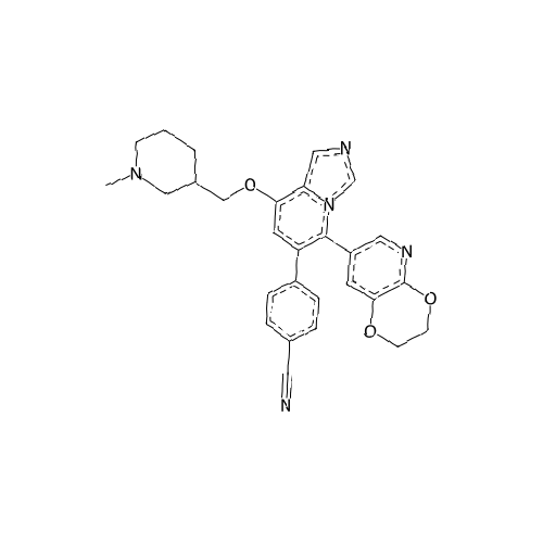 CN1CCCC(COc2cc(-c3ccc(C#N)cc3)c(-c3cnc4c(c3)OCCO4)n3cncc23)C1